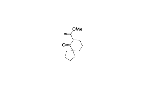 C=C(OC)C1CCCC2(CCCC2)C1=O